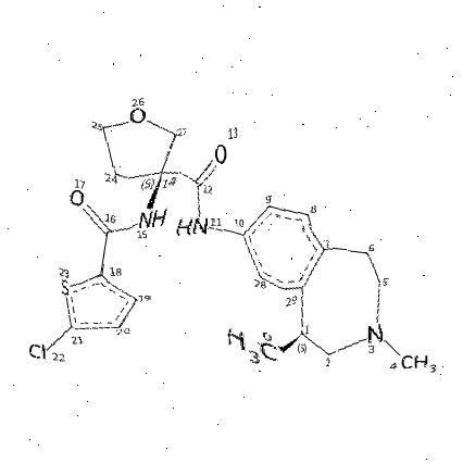 C[C@@H]1CN(C)CCc2ccc(NC(=O)[C@]3(NC(=O)c4ccc(Cl)s4)CCOC3)cc21